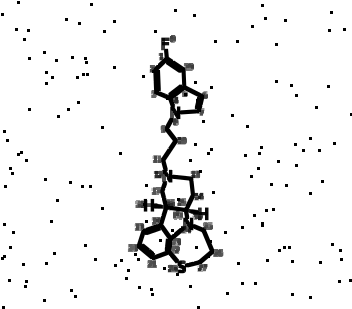 Fc1ccc2c(ccn2CCCN2CC[C@H]3[C@@H](C2)c2cccc4c2N3CCCS4)c1